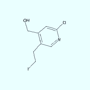 OCc1cc(Cl)ncc1CCI